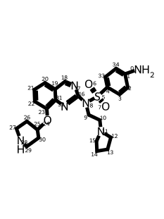 Nc1ccc(S(=O)(=O)N(CCN2CCCC2)c2ncc3cccc(OC4CCNCC4)c3n2)cc1